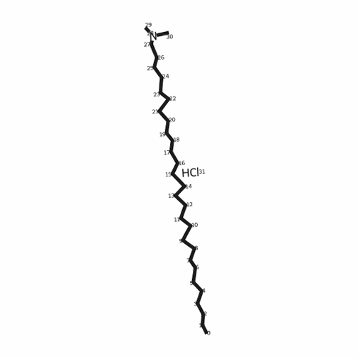 CCCCCCCCCCCCCCCCCCCCCCCCCCCCN(C)C.Cl